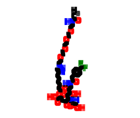 CC(=O)NCCOCCOCCOCCOCCn1cc(CCCCCCO[C@]2(C(=O)O)C[C@H](O)[C@@H](NC(=O)CO)[C@H]([C@H](O)[C@H](O)CNC(=O)Cc3ccc(C(F)F)cc3)O2)nn1